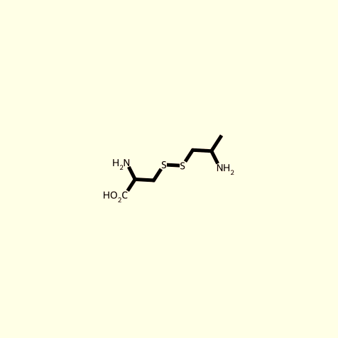 CC(N)CSSCC(N)C(=O)O